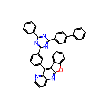 c1ccc(-c2ccc(-c3nc(-c4ccccc4)nc(-c4cccc(-c5c6ncccc6nc6oc7ccccc7c56)c4)n3)cc2)cc1